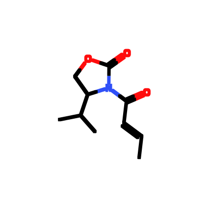 CC=CC(=O)N1C(=O)OCC1C(C)C